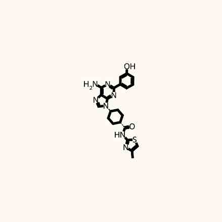 Cc1csc(NC(=O)[C@H]2CC[C@@H](n3cnc4c(N)nc(-c5cccc(O)c5)nc43)CC2)n1